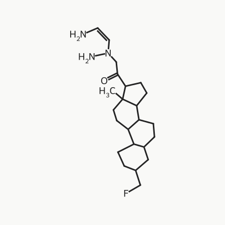 CC12CCC3C4CCC(CF)CC4CCC3C1CCC2C(=O)CN(N)/C=C\N